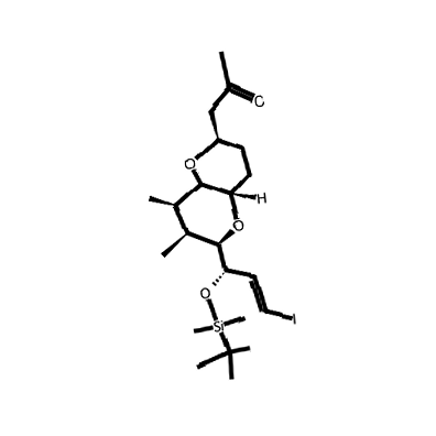 CC(=O)C[C@H]1CC[C@@H]2O[C@@H]([C@H](/C=C/I)O[Si](C)(C)C(C)(C)C)[C@@H](C)[C@@H](C)C2O1